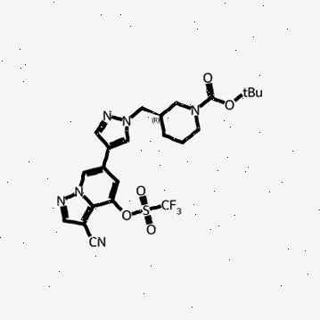 CC(C)(C)OC(=O)N1CCC[C@@H](Cn2cc(-c3cc(OS(=O)(=O)C(F)(F)F)c4c(C#N)cnn4c3)cn2)C1